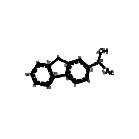 CC(=O)N(O)c1ccc2c(c1)Cc1ccccc1-2